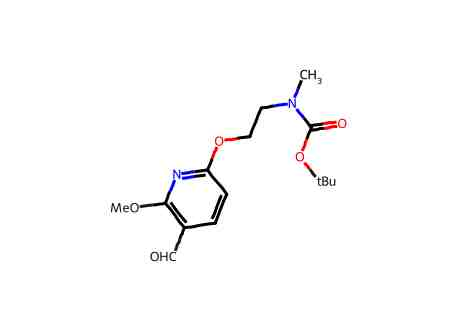 COc1nc(OCCN(C)C(=O)OC(C)(C)C)ccc1C=O